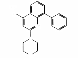 Clc1cc(N2CCOCC2)[o+]c2c(-c3ccccc3)cccc12.[Cl-]